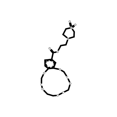 O=C(OCCN1CCS(=O)(=O)CC1)c1ccc2c(c1)OCCOCCOCCOCCO2